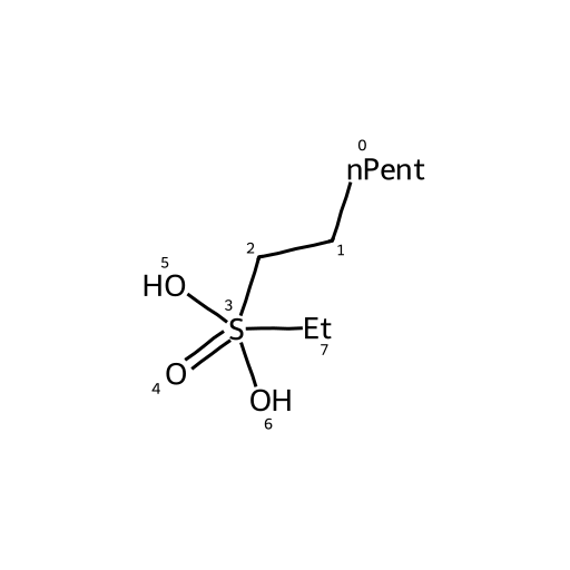 CCCCCCCS(=O)(O)(O)CC